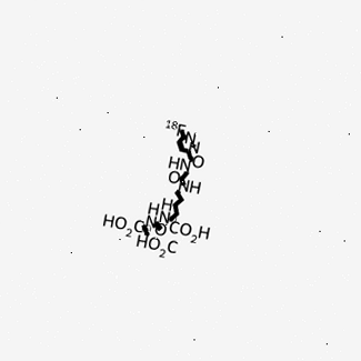 O=C(O)C[C@H](NC(=O)N[C@@H](CCCCNC(=O)CNC(=O)c1ccc([18F])nn1)C(=O)O)C(=O)O